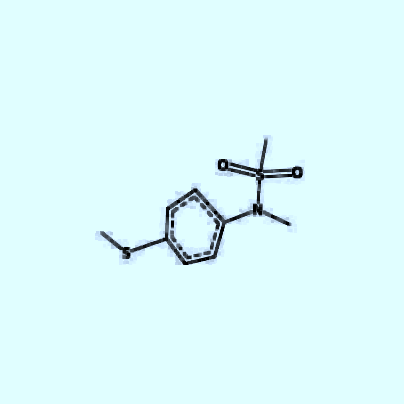 CSc1ccc(N(C)S(C)(=O)=O)cc1